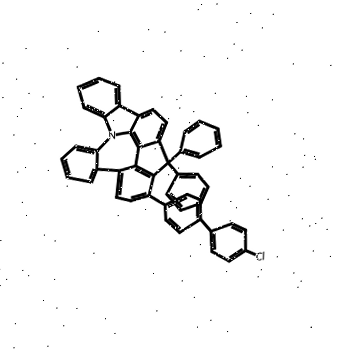 Clc1ccc(-c2ccc(-c3ccc4c5c3C(c3ccccc3)(c3ccccc3)c3ccc6c7ccccc7n(c6c3-5)-c3ccccc3-4)cc2)cc1